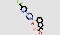 CC1(C(=O)O)Cc2cccc([S+]([O-])N3CCN(c4ccc(C(F)(F)F)cn4)CC3)c2C1